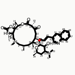 C[C@H]1CN(C)[C@H](C)[C@H]2NC(=O)O[C@@H]2[C@@H](C)OC(=O)[C@H](C)C(=O)C[C@@H](O[C@@H]2O[C@H](C)CC(N(C)C)C2O)[C@](C)(OC/C=C/c2cnc3ccccc3c2)C1